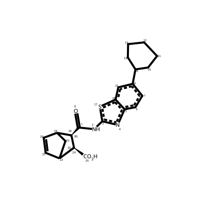 O=C(Nc1nc2ccc(C3CCCCC3)cc2s1)[C@@H]1C2C=CC(C2)[C@@H]1C(=O)O